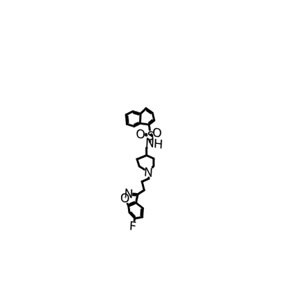 O=S(=O)(NCC1CCN(CCCc2noc3cc(F)ccc23)CC1)c1cccc2ccccc12